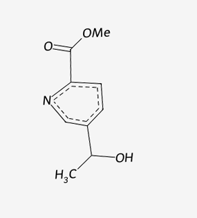 COC(=O)c1ccc(C(C)O)cn1